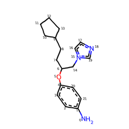 Nc1ccc(OC(CCC2CCCC2)Cn2ccnc2)cc1